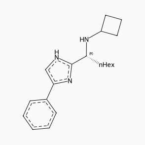 CCCCCC[C@@H](NC1CCC1)c1nc(-c2ccccc2)c[nH]1